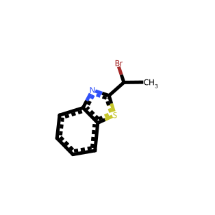 CC(Br)c1nc2ccccc2s1